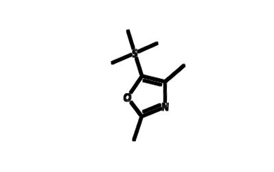 Cc1nc(C)c(S(C)(C)C)o1